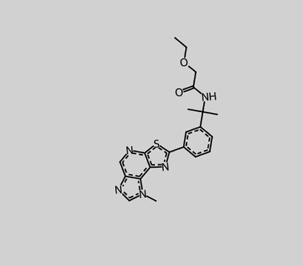 CCOCC(=O)NC(C)(C)c1cccc(-c2nc3c(ncc4ncn(C)c43)s2)c1